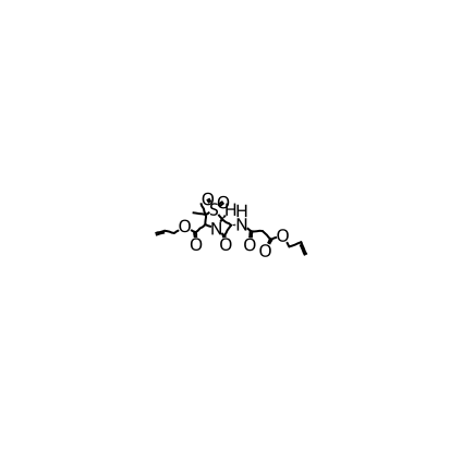 C=CCOC(=O)CC(=O)N[C@@H]1C(=O)N2C(C(=O)OCC=C)C(C)(C)S(=O)(=O)[C@H]12